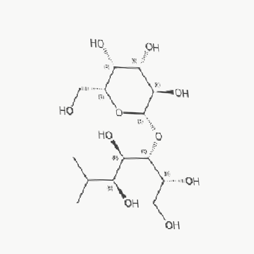 CC(C)[C@H](O)[C@@H](O)[C@H](O[C@@H]1O[C@H](CO)[C@H](O)[C@H](O)[C@H]1O)[C@H](O)CO